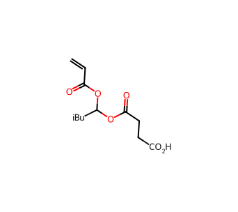 C=CC(=O)OC(OC(=O)CCC(=O)O)C(C)CC